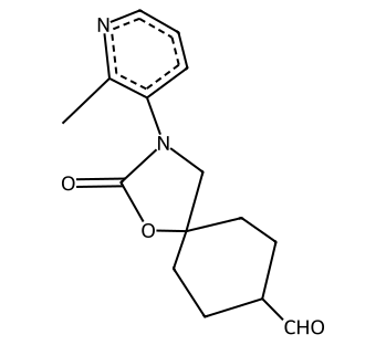 Cc1ncccc1N1CC2(CCC(C=O)CC2)OC1=O